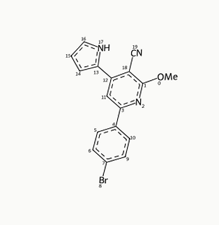 COc1nc(-c2ccc(Br)cc2)cc(-c2ccc[nH]2)c1C#N